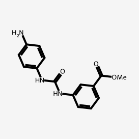 COC(=O)c1cccc(NC(=O)Nc2ccc(N)cc2)c1